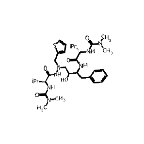 CC(C)[C@H](NC(=O)N(C)C)C(=O)NC(Cc1ccccc1)C(O)CN(Cc1cccs1)NC(=O)[C@@H](NC(=O)N(C)C)C(C)C